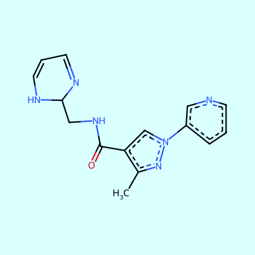 Cc1nn(-c2cccnc2)cc1C(=O)NCC1N=CC=CN1